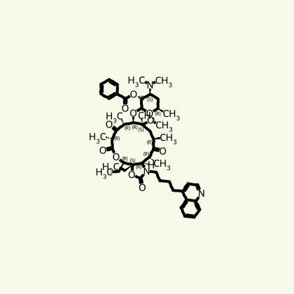 CC[C@H]1OC(=O)[C@H](C)C(=O)[C@H](C)[C@@H](OC2O[C@H](C)C[C@H](N(C)C)[C@H]2OC(=O)c2ccccc2)[C@@](C)(OC)C[C@@H](C)C(=O)[C@H](C)[C@H]2N(CCCCc3ccnc4ccccc34)C(=O)O[C@]12CC